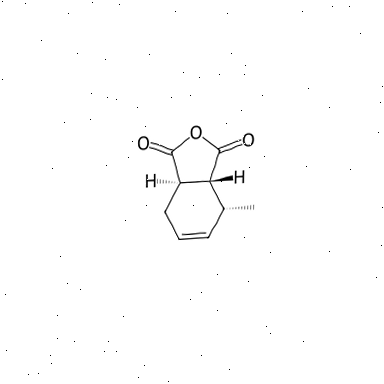 C[C@@H]1C=CC[C@H]2C(=O)OC(=O)[C@H]12